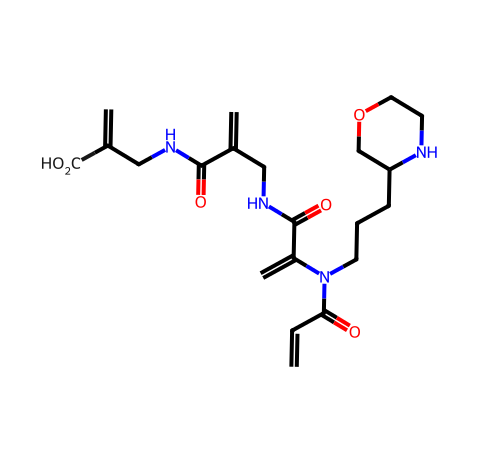 C=CC(=O)N(CCCC1COCCN1)C(=C)C(=O)NCC(=C)C(=O)NCC(=C)C(=O)O